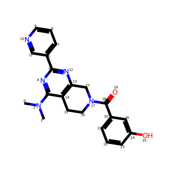 CN(C)c1nc(-c2cccnc2)nc2c1CCN(C(=O)c1cccc(O)c1)C2